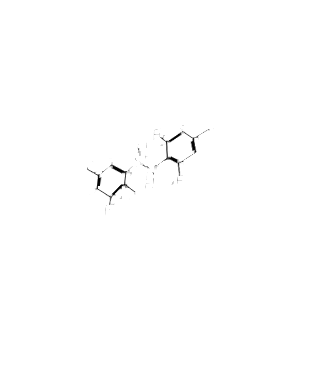 Cc1cc(F)c(N[S+]([O-])c2cc(C)cc(F)c2C)c(F)c1